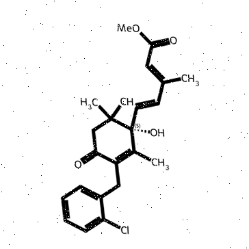 COC(=O)C=C(C)C=C[C@@]1(O)C(C)=C(Cc2ccccc2Cl)C(=O)CC1(C)C